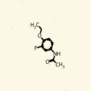 CCOc1ccc(NC(C)=O)cc1F